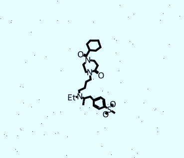 CCN(CCCCN1CCN(C(=O)C2CCCCC2)CCC1=O)C(C)Cc1ccc(S(C)(=O)=O)cc1